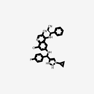 N#CC[C@H](Nc1c(C#N)cnc2c(Cl)cc(NC(C3=CN(C4CC4)NN3)c3ccc(F)cc3)cc12)c1ccccc1